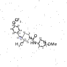 COc1ccc(NC(=O)N2CC/C(=C\c3ccc(OC(F)(F)F)cc3)C(C)C2)cn1